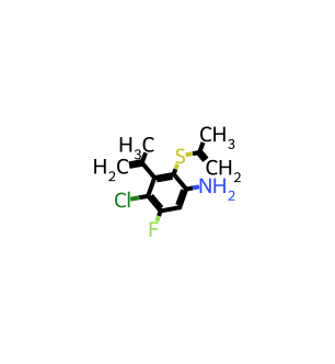 C=C(C)Sc1c(N)cc(F)c(Cl)c1C(=C)C